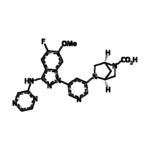 COc1cc2c(cc1F)c(Nc1cnccn1)nn2-c1cncc(N2C[C@@H]3C[C@H]2CN3C(=O)O)c1